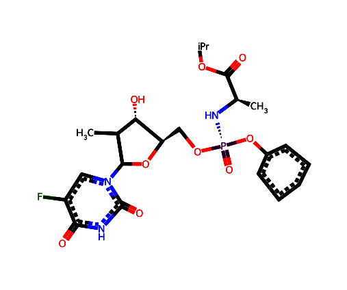 CC(C)OC(=O)[C@@H](C)N[P@](=O)(OC[C@H]1OC(n2cc(F)c(=O)[nH]c2=O)C(C)[C@@H]1O)Oc1ccccc1